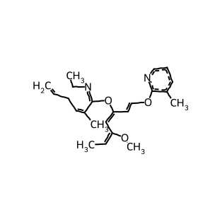 C=CC/C=C(C)\C(=N/CC)OC(/C=C/Oc1ncccc1C)=C/C(=C\C)OC